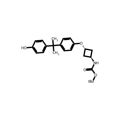 CC(C)(C)OC(=O)N[C@H]1C[C@H](Oc2ccc(C(C)(C)c3ccc(O)cc3)cc2)C1